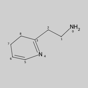 NCCC1=NC=CCC1